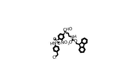 O=CN(CCNC(=O)OCC1c2ccccc2-c2ccccc21)c1ccc(S(=O)(=O)Nc2ccc(CCl)cc2)c([N+](=O)[O-])c1